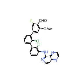 COc1cc(-c2cccc(-c3cccc(Nc4nccc5nccnc45)c3Cl)c2Cl)cc(F)c1C=O